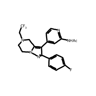 CC(=O)Nc1cc(-c2c(-c3ccc(F)cc3)nn3c2CN(CC(F)(F)F)CC3)ccn1